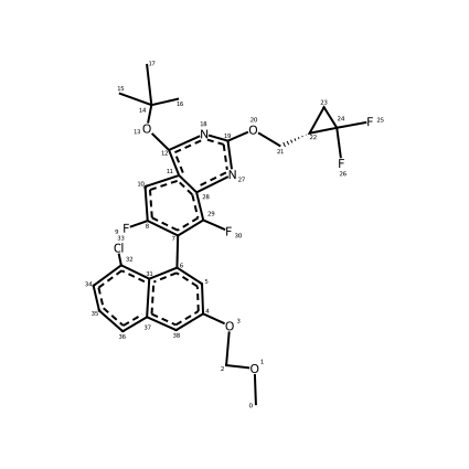 COCOc1cc(-c2c(F)cc3c(OC(C)(C)C)nc(OC[C@@H]4CC4(F)F)nc3c2F)c2c(Cl)cccc2c1